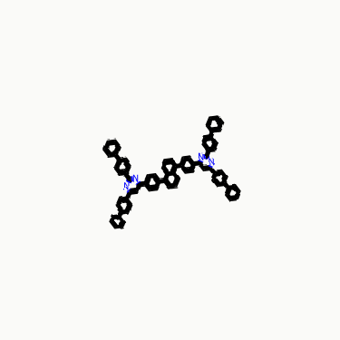 c1ccc(-c2ccc(-c3cc(-c4ccc(-c5cccc6c(-c7ccc(-c8cc(-c9ccc(-c%10ccccc%10)cc9)nc(-c9ccc(-c%10ccccc%10)cc9)n8)cc7)cccc56)cc4)nc(-c4ccc(-c5ccccc5)cc4)n3)cc2)cc1